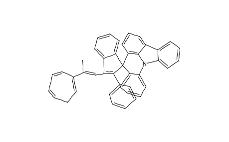 C/C(=C\C1=C(c2ccccc2)C2(c3ccccc31)c1ccccc1-n1c3ccccc3c3cccc2c31)C1=CCC=CC=C1